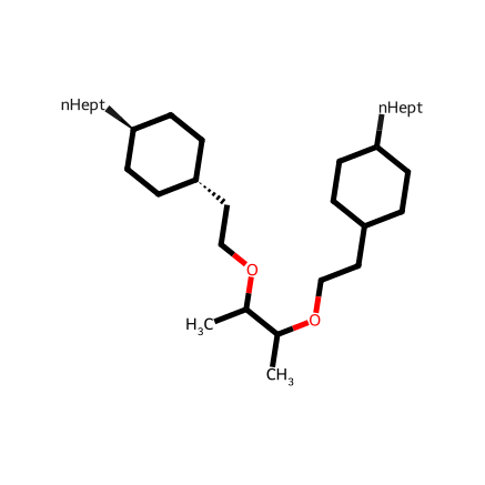 CCCCCCCC1CCC(CCOC(C)C(C)OCC[C@H]2CC[C@H](CCCCCCC)CC2)CC1